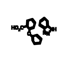 O=C(O)c1ccccc1Oc1ccccc1.c1ccc2[nH]nnc2c1